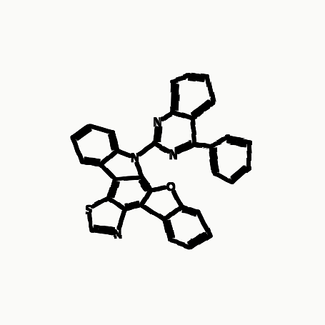 c1ccc(-c2nc(-n3c4ccccc4c4c5scnc5c5c6ccccc6oc5c43)nc3ccccc23)cc1